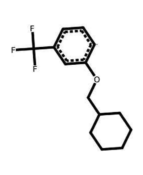 FC(F)(F)c1cc[c]c(OCC2CCCCC2)c1